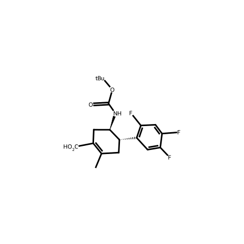 CC1=C(C(=O)O)C[C@@H](NC(=O)OC(C)(C)C)[C@H](c2cc(F)c(F)cc2F)C1